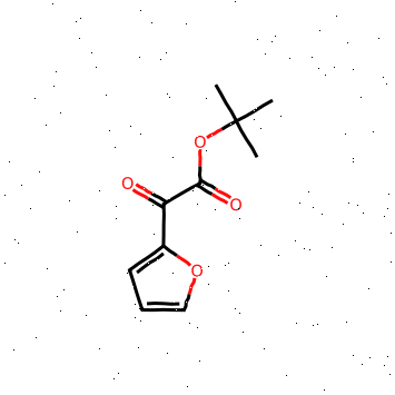 CC(C)(C)OC(=O)C(=O)c1ccco1